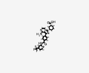 Nc1nccn2c([C@H]3CCC[C@@H](C(=O)O)C3)nc(-c3ccc(C(=O)Nc4cc(C(F)(F)F)ccn4)cc3)c12